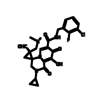 CN(C)CC1(C=O)CC12CN(C1CC1)C(=O)c1c(O)c(=O)c(C(=O)NCc3cccc(Cl)c3F)cn12